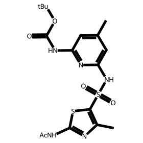 CC(=O)Nc1nc(C)c(S(=O)(=O)Nc2cc(C)cc(NC(=O)OC(C)(C)C)n2)s1